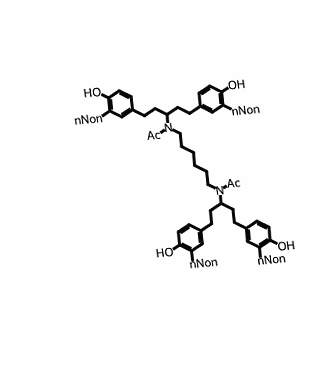 CCCCCCCCCc1cc(CCC(CCc2ccc(O)c(CCCCCCCCC)c2)N(CCCCCCN(C(C)=O)C(CCc2ccc(O)c(CCCCCCCCC)c2)CCc2ccc(O)c(CCCCCCCCC)c2)C(C)=O)ccc1O